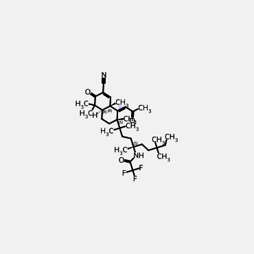 CCC(C)(C)CC[C@@](C)(CCC(C)(C)[C@]1(C)CC[C@H]2C(C)(C)C(=O)C(C#N)=C[C@]2(C)/C1=C/C(C)=O)NC(=O)C(F)(F)F